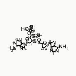 Nc1ncnc2c1ncn2[C@H]1CCC(COP(=O)(S)O[C@H]2C[C@H](n3cnc4c(N)ncnc43)OC2COP(=O)(O)S)O1